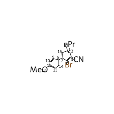 CCCc1cc(C#N)c(Br)c(-c2ccc(OC)cc2)c1